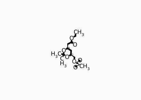 CCOC(=O)C[C@H]1C[C@@H](COS(C)(=O)=O)OC(C)(C)O1